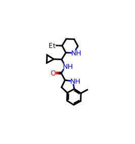 CCC1CCCNC1C(NC(=O)C1Cc2cccc(C)c2N1)C1CC1